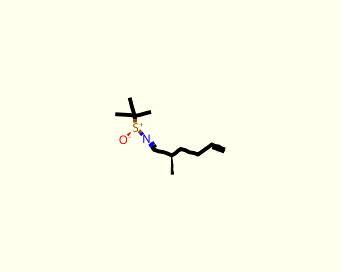 C=CCC[C@@H](C)/C=N/[S@+]([O-])C(C)(C)C